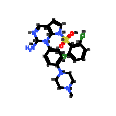 CN1CCN(c2ccc(N3c4c(ccn4S(=O)(=O)c4c(Cl)cccc4Cl)C=NC3N)cc2)CC1